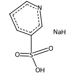 O=S(=O)(O)c1cccnc1.[NaH]